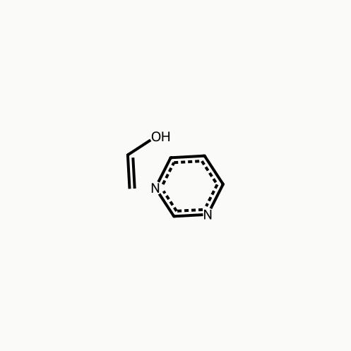 C=CO.c1cncnc1